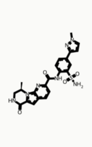 C[C@@H]1CNC(=O)c2cc3ccc(C(=O)Nc4ccc(-c5ccn(C)n5)cc4S(N)(=O)=O)nc3n21